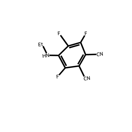 CCNc1c(F)c(F)c(C#N)c(C#N)c1F